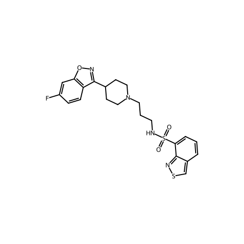 O=S(=O)(NCCCN1CCC(c2noc3cc(F)ccc23)CC1)c1cccc2csnc12